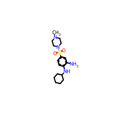 CN1CCN(S(=O)(=O)c2ccc(NC3CCCCC3)c(N)c2)CC1